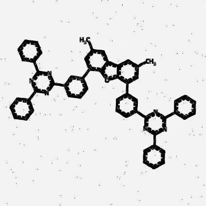 Cc1cc(-c2cccc(-c3nc(-c4ccccc4)nc(-c4ccccc4)n3)c2)c2oc3c(-c4cccc(-c5nc(-c6ccccc6)nc(-c6ccccc6)n5)c4)cc(C)cc3c2c1